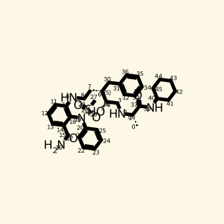 C[C@H](NC[C@H](O)[C@H](CCNc1cccc(C(N)=O)c1N(c1ccccc1)S(C)(=O)=O)Cc1ccccc1)C(=O)NC1CCCCC1